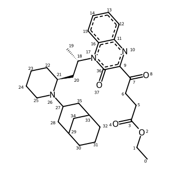 CCOC(=O)CCC(=O)c1nc2ccccc2n([C@@H](C)C[C@@H]2CCCCN2C2CC3CCCC(C3)C2)c1=O